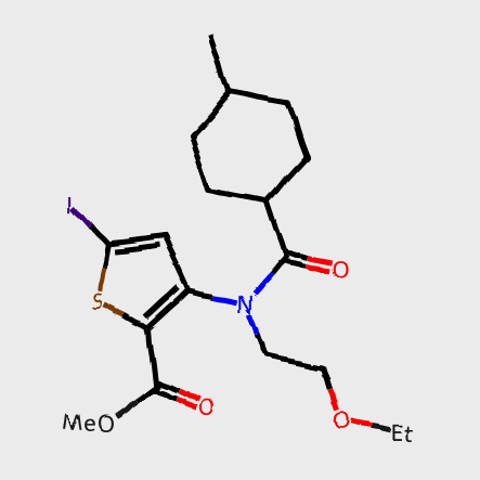 CCOCCN(C(=O)C1CCC(C)CC1)c1cc(I)sc1C(=O)OC